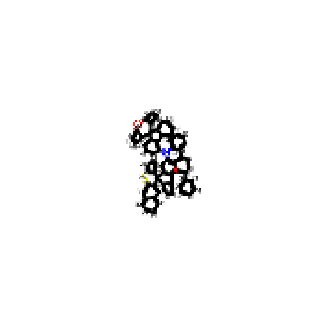 c1ccc(-c2ccc(-c3ccccc3N(c3ccc4c(c3)C3(c5ccccc5Sc5cc6ccccc6cc53)c3ccccc3-4)c3cccc4c3-c3ccccc3C43c4ccccc4Oc4ccccc43)cc2)cc1